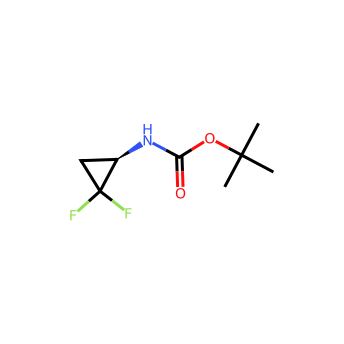 CC(C)(C)OC(=O)N[C@@H]1CC1(F)F